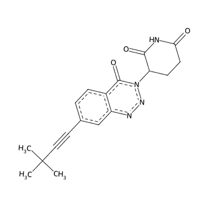 CC(C)(C)C#Cc1ccc2c(=O)n(C3CCC(=O)NC3=O)nnc2c1